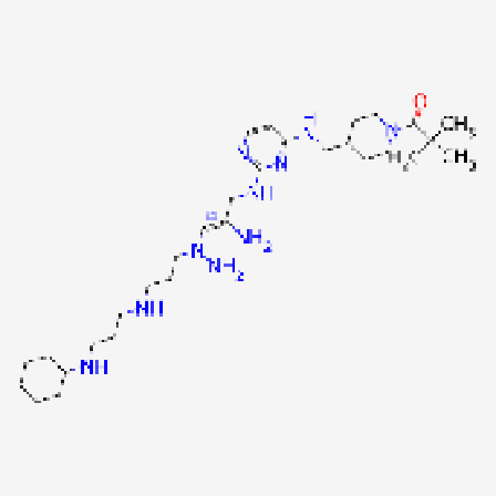 CC(C)(C)C(=O)N1CCC(CNc2ccnc(NC/C(N)=C/N(N)CCCNCCCNC3CCCCC3)n2)CC1